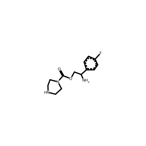 NC(COC(=O)N1CCNCC1)c1ccc(F)cc1